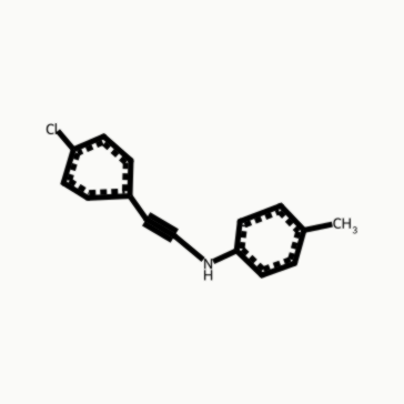 Cc1ccc(NC#Cc2ccc(Cl)cc2)cc1